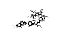 CC(=O)CC[C@H](NC(=O)CC[C@H](NC(=O)c1ccc(NCc2cnc3nc(N)[nH]c(=O)c3n2)cc1)C(=O)O)C(=O)N[C@@H](CCC(C)=O)C(=O)N[C@@H](CCC(C)=O)C(=O)N[C@@H](CS)C(=O)O